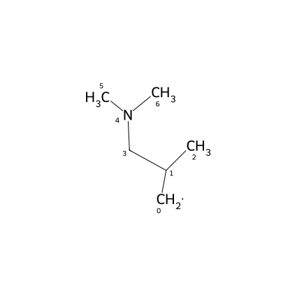 [CH2]C(C)CN(C)C